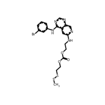 CSSCCOC(=O)OCCNc1cc2c(Nc3cccc(Br)c3)ncnc2cn1